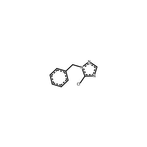 Clc1ncnn1Cc1ccccc1